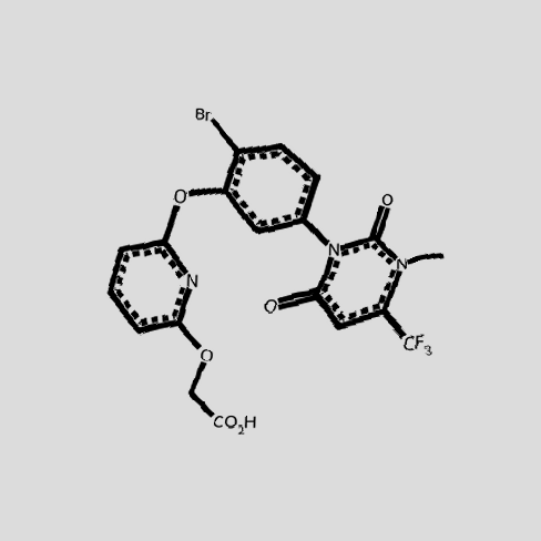 Cn1c(C(F)(F)F)cc(=O)n(-c2ccc(Br)c(Oc3cccc(OCC(=O)O)n3)c2)c1=O